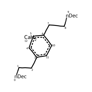 CCCCCCCCCCCCc1ccc(CCCCCCCCCCCC)cc1.[CaH2]